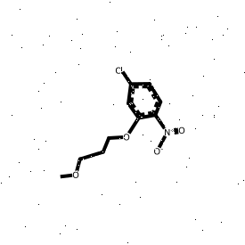 COCCCOc1cc(Cl)ccc1[N+](=O)[O-]